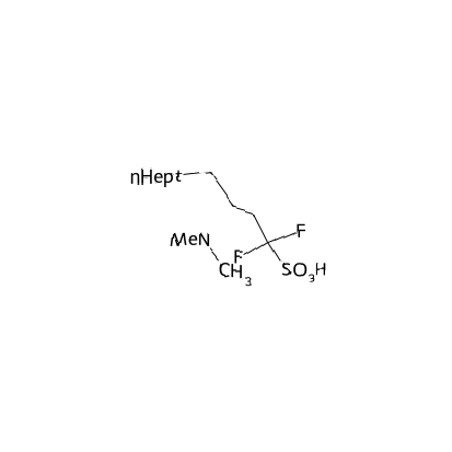 CCCCCCCCCCC(F)(F)S(=O)(=O)O.CNC